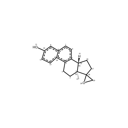 C[C@]12CCc3c(ccc4cc(O)ccc34)[C@@H]1CCC21CO1